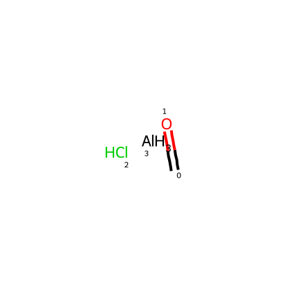 C=O.Cl.[AlH3]